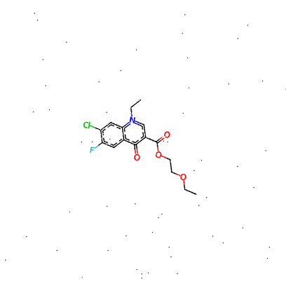 CCOCCOC(=O)c1cn(CC)c2cc(Cl)c(F)cc2c1=O